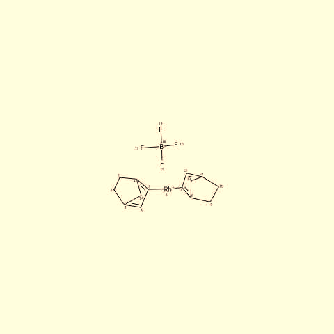 C1=C2CCC(=[C]1[Rh+][C]1=C3CCC(=C1)C3)C2.F[B-](F)(F)F